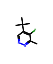 Cc1nncc(C(C)(C)C)c1F